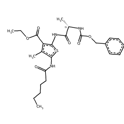 CCCCCC(=O)Nc1sc(NC(=O)[C@H](C)NC(=O)OCc2ccccc2)c(C(=O)OCC)c1C